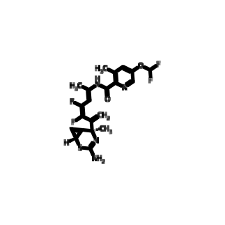 C=C(/C(F)=C(F)\C=C(/C)NC(=O)c1ncc(OC(F)F)cc1C)[C@@]1(C)N=C(N)S[C@@H]2C=C21